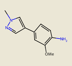 COc1cc(-c2cnn(C)c2)ccc1N